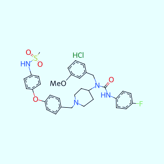 COc1cccc(CN(C(=O)Nc2ccc(F)cc2)C2CCN(Cc3ccc(Oc4ccc(NS(C)(=O)=O)cc4)cc3)CC2)c1.Cl